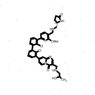 COc1nc(-c2cccc(-c3cccc(-c4ccn5c(=O)c(CNCC(C)O)cnc5c4)c3Cl)c2Cl)ccc1CNC[C@@H]1CCC(=O)N1